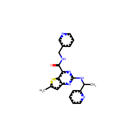 Cc1cc2nc(NC(C)c3ccccn3)nc(C(=O)NCc3cccnc3)c2s1